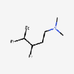 CCC(CCN(C)C)C(CC)C(C)C